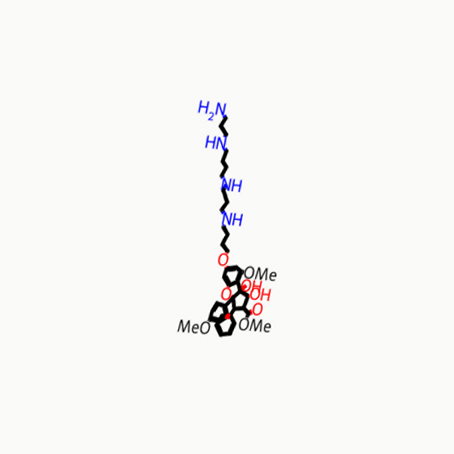 COC(=O)C1C(O)C2(O)c3c(OC)cc(OCCCCNCCCNCCCCNCCCN)cc3OC2(c2ccc(OC)cc2)C1c1ccccc1